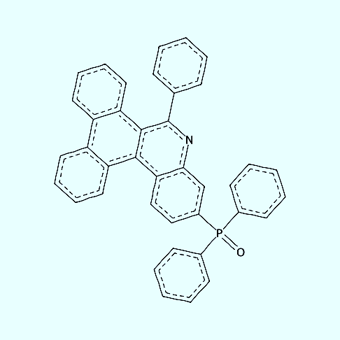 O=P(c1ccccc1)(c1ccccc1)c1ccc2c(c1)nc(-c1ccccc1)c1c3ccccc3c3ccccc3c21